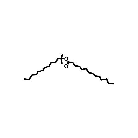 CCCCCCCCCCCCCC(=O)OC(C)(C)CCCCCCCCCCC